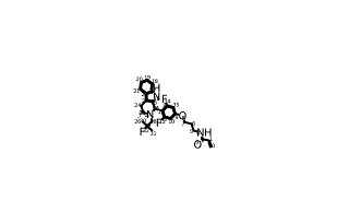 C=CC(=O)NCCCOc1cc(F)c([C@@H]2c3[nH]c4ccccc4c3C[C@@H](C)N2CC(C)(C)F)c(F)c1